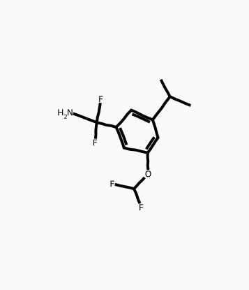 CC(C)c1cc(OC(F)F)cc(C(N)(F)F)c1